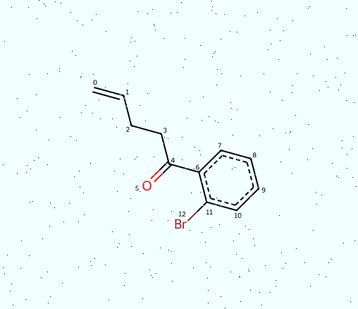 C=CCCC(=O)c1ccccc1Br